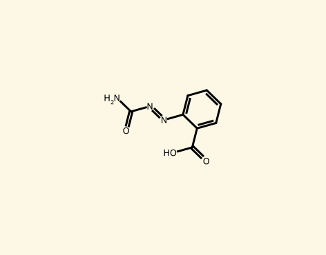 NC(=O)N=Nc1ccccc1C(=O)O